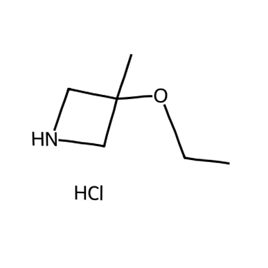 CCOC1(C)CNC1.Cl